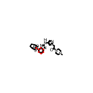 CN1CCN(C(=O)Cn2cc(Nc3nc4c(N5CC6CCC(C5)N6S(=O)(=O)C5CCCCC5)cccn4n3)cn2)CC1